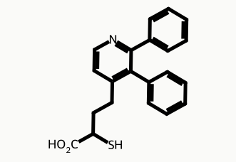 O=C(O)C(S)CCc1ccnc(-c2ccccc2)c1-c1ccccc1